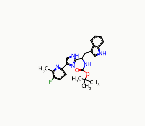 Cc1nc(-c2c[nH]c(C(Cc3c[nH]c4ccccc34)NC(=O)OC(C)(C)C)n2)ccc1F